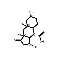 C[C@@H]1CCC2[C@@H](C1)C[C@H]1C(=O)O[C@H](C)C1[C@H]2C(=O)O